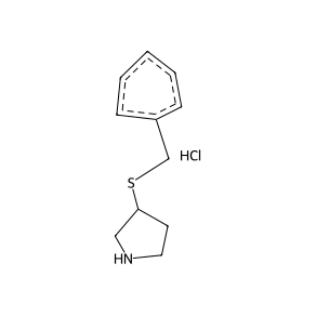 Cl.c1ccc(CSC2CCNC2)cc1